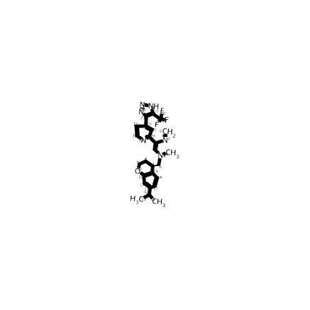 C=N/C(=C\N(C)C[C@@H]1CCOc2cc(C(C)C)ccc21)c1cc(-c2nn[nH]c2C(F)(F)F)ccn1